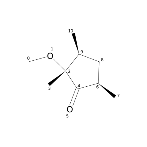 CO[C@@]1(C)C(=O)[C@H](C)C[C@@H]1C